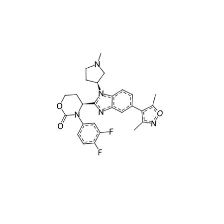 Cc1noc(C)c1-c1ccc2c(c1)nc([C@@H]1CCOC(=O)N1c1ccc(F)c(F)c1)n2[C@H]1CCN(C)C1